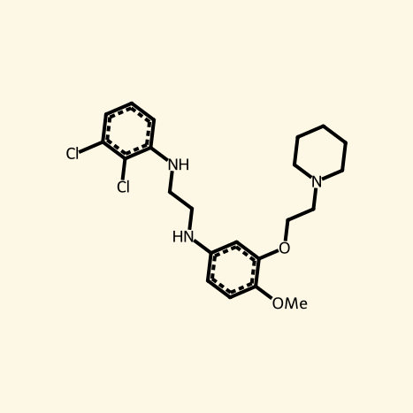 COc1ccc(NCCNc2cccc(Cl)c2Cl)cc1OCCN1CCCCC1